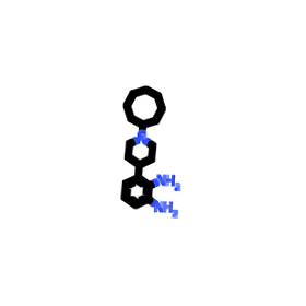 Nc1cccc(C2CCN(C3CCCCCCC3)CC2)c1N